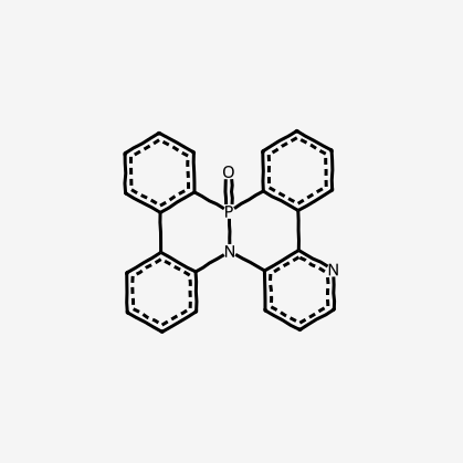 O=P12c3ccccc3-c3ccccc3N1c1cccnc1-c1ccccc12